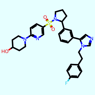 O=S(=O)(c1ccc(N2CCC(O)CC2)nc1)N1CCCC1c1cccc(-c2cncn2CCc2ccc(F)cc2)c1